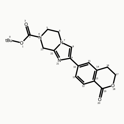 CC(C)(C)OC(=O)N1CCn2cc(-c3ccc4c(c3)CCOC4=O)nc2C1